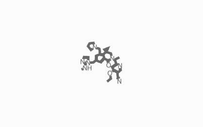 CCOc1cc(C(C)N2CC3(CC3)c3c(CN4CCCC4)cc(Cn4ccnc4NC)cc3C2=O)ncc1C#N